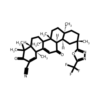 CC1(C)C(=O)C(C#N)=C[C@]2(C)C3=CC(=O)[C@@H]4[C@@H]5C[C@@](C)(c6nnc(C(F)(F)F)o6)CC[C@]5(C)CC[C@@]4(C)[C@]3(C)CC[C@@H]12